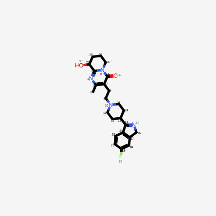 Cc1nc2n(c(=O)c1CCN1CCC(C3=NCc4cc(F)ccc43)CC1)CCCC2O